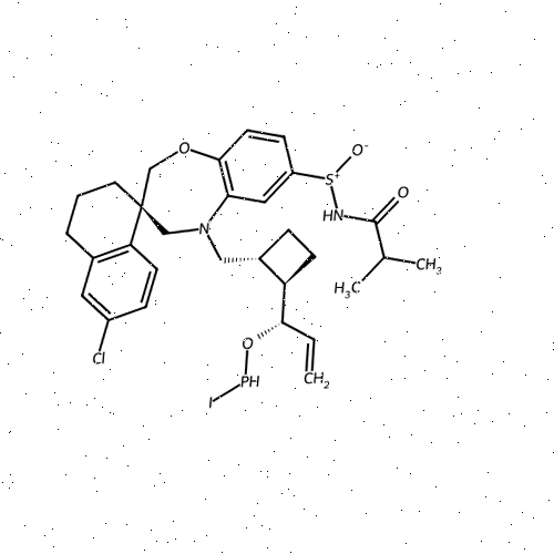 C=C[C@H](OPI)[C@@H]1CC[C@H]1CN1C[C@@]2(CCCc3cc(Cl)ccc32)COc2ccc([S+]([O-])NC(=O)C(C)C)cc21